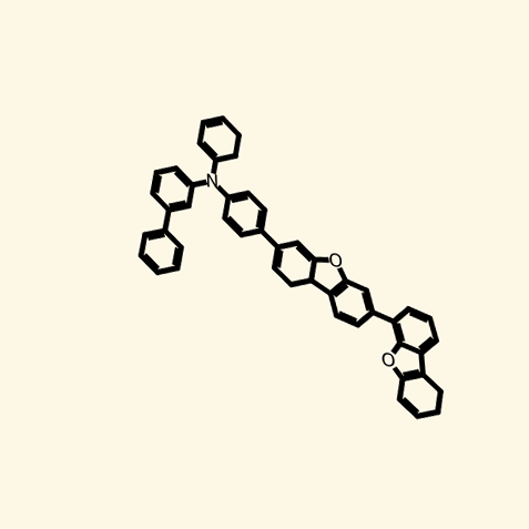 C1=CCCC(N(c2ccc(C3=CCC4C(=C3)Oc3cc(-c5cccc6c7c(oc56)C=CCC7)ccc34)cc2)c2cccc(-c3ccccc3)c2)=C1